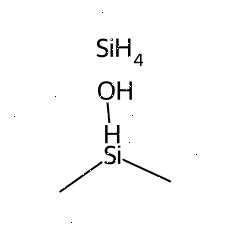 C[SiH](C)O.[SiH4]